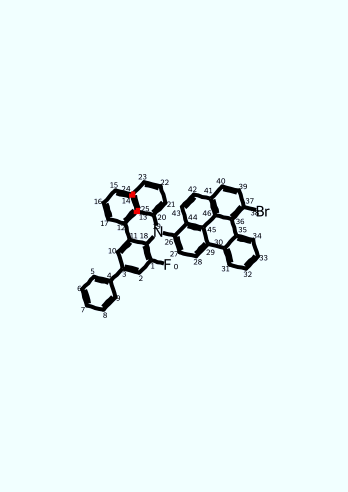 Fc1cc(-c2ccccc2)cc(-c2ccccc2)c1N(c1ccccc1)c1ccc2c3ccccc3c3c(Br)ccc4ccc1c2c43